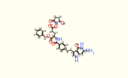 Nc1cc2[nH]cc(CCc3ccc(C(=O)NC(CCC(=O)ON4C(=O)CCC4=O)C(=O)OCc4ccccc4)cc3)c2c(=O)[nH]1